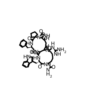 N=C(N)NCC[C@@]12NCCCC[C@@H](C(N)=O)NC(=O)[C@H](Cc3c[nH]c4ccccc34)NC(=O)C1NC(=O)[C@@H](Cc1ccccc1)NC(=O)C1(CCCC1)N1C(=O)N[C@@H](CC2=O)C1=O